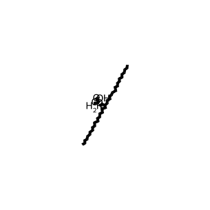 CCCCCCCCCCCCCCCCCCC(CN)CCCCCCCCCCCCCCCCCC.COS(=O)(=O)O